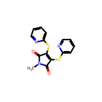 CN1C(=O)C(Sc2ccccn2)=C(Sc2ccccn2)C1=O